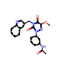 COc1nn(-c2cccc(NC(C)=O)c2)c(=O)n(Cc2cnc3ccccc3c2)c1=O